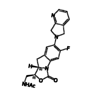 CC(=O)NC[C@@H]1OC(=O)N2c3cc(F)c(N4Cc5cccnc5C4)cc3C[C@@H]12